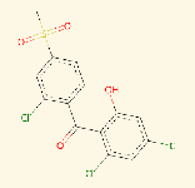 CS(=O)(=O)c1ccc(C(=O)c2c(O)cc(Cl)cc2Cl)c(Cl)c1